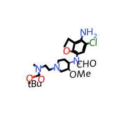 CO[C@H]1CN(CCN(C)C(=O)OC(C)(C)C)CC[C@H]1N(C=O)c1cc(Cl)c(N)c2c1OCC2